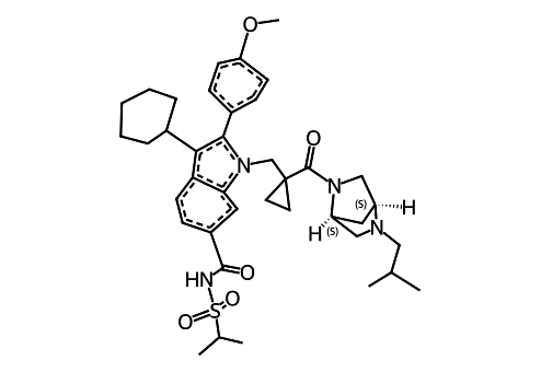 COc1ccc(-c2c(C3CCCCC3)c3ccc(C(=O)NS(=O)(=O)C(C)C)cc3n2CC2(C(=O)N3C[C@@H]4C[C@H]3CN4CC(C)C)CC2)cc1